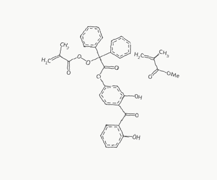 C=C(C)C(=O)OC.C=C(C)C(=O)OOC(C(=O)Oc1ccc(C(=O)c2ccccc2O)c(O)c1)(c1ccccc1)c1ccccc1